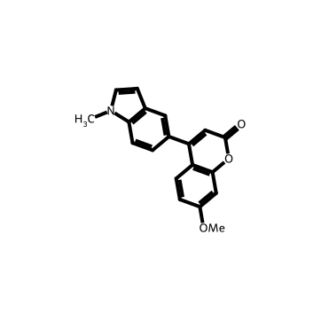 COc1ccc2c(-c3ccc4c(ccn4C)c3)cc(=O)oc2c1